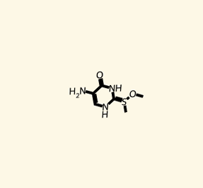 COS(C)=c1[nH]cc(N)c(=O)[nH]1